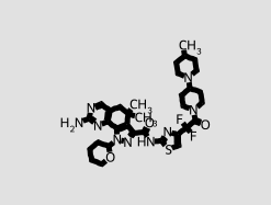 CC1CCN(C2CCN(C(=O)C(F)(F)c3csc(NC(=O)c4nn(C5CCCCO5)c5c4C(C)(C)Cc4cnc(N)nc4-5)n3)CC2)CC1